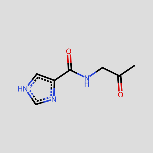 CC(=O)CNC(=O)c1c[nH]cn1